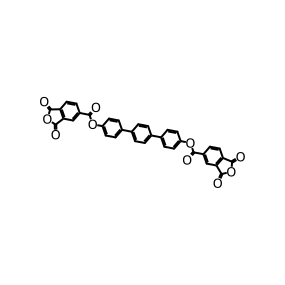 O=C(Oc1ccc(-c2ccc(-c3ccc(OC(=O)c4ccc5c(c4)C(=O)OC5=O)cc3)cc2)cc1)c1ccc2c(c1)C(=O)OC2=O